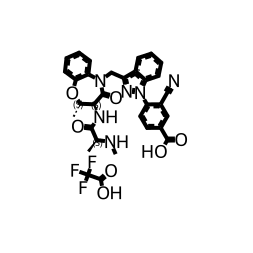 CN[C@@H](C)C(=O)N[C@@H]1C(=O)N(Cc2nn(-c3ccc(C(=O)O)cc3C#N)c3ccccc23)c2ccccc2O[C@H]1C.O=C(O)C(F)(F)F